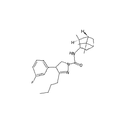 CCCCC1=NN(C(=O)NC2CC3C[C@@H]([C@@H]2C)C3(C)C)CC1c1cccc(F)c1